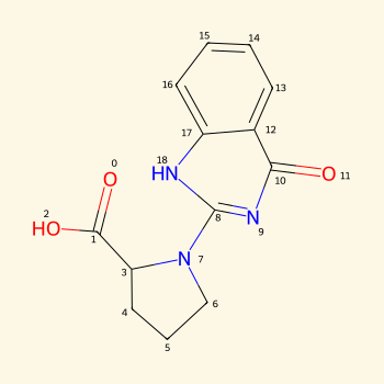 O=C(O)C1CCCN1c1nc(=O)c2ccccc2[nH]1